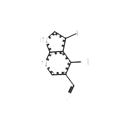 O=Cc1cnc2[nH]cc(I)c2c1Cl